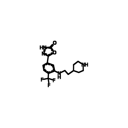 O=c1[nH]nc(-c2ccc(C(F)(F)F)c(NCCC3CCNCC3)c2)o1